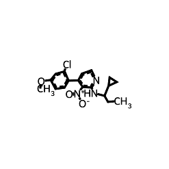 CCC(Nc1nccc(-c2ccc(OC)cc2Cl)c1[N+](=O)[O-])C1CC1